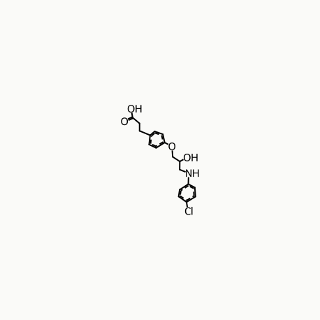 O=C(O)CCc1ccc(OCC(O)CNc2ccc(Cl)cc2)cc1